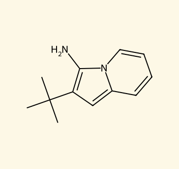 CC(C)(C)c1cc2ccccn2c1N